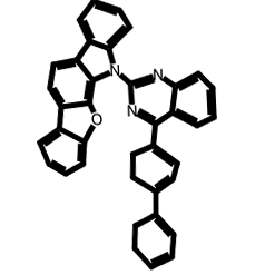 C1=CCCC(C2=CC=C(c3nc(-n4c5ccccc5c5ccc6c7ccccc7oc6c54)nc4ccccc34)CC2)=C1